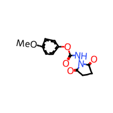 COc1ccc(OC(=O)NN2C(=O)CCC2=O)cc1